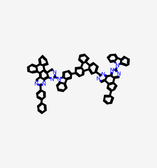 c1ccc(-c2ccc(-c3ncc4c(n3)c3nc(-n5c6ccccc6c6cc(-c7ccc8c(c7)c7ccccc7c7ccc(-c9ncc%10c%11cc(-c%12ccccc%12)ccc%11c%11cnc(-n%12c%13ccccc%13c%13ccccc%13%12)nc%11c%10n9)cc78)ccc65)ncc3c3c5ccccc5c5ccccc5c43)cc2)cc1